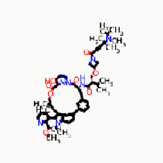 CCn1c(-c2cccnc2[C@H](C)OC)c2c3cc(ccc31)-c1cccc(c1)C[C@H](NC(=O)[C@@H](COC1CN(C(=O)C#CC(C)(C)N(C)C(C)C)C1)C(C)C)C(=O)N1CCC[C@@](O)(N1)C(=O)OCC(C)(C)C2